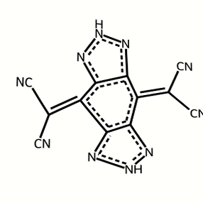 N#CC(C#N)=c1c2n[nH]nc2c(=C(C#N)C#N)c2n[nH]nc12